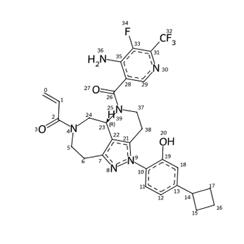 C=CC(=O)N1CCc2nn(-c3ccc(C4CCC4)cc3O)c3c2[C@H](C1)N(C(=O)c1cnc(C(F)(F)F)c(F)c1N)CC3